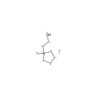 C[N+]1(CCO)CCCC1.[I-]